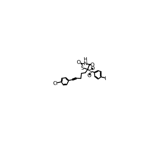 O=C1NC(=O)C(CCCC#Cc2ccc(Cl)cc2)(S(=O)(=O)c2ccc(I)cc2)S1